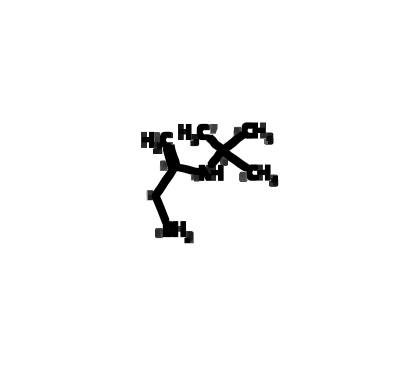 BCC(=C)NC(C)(C)C